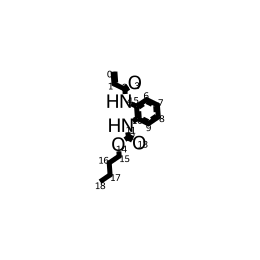 C=CC(=O)Nc1ccccc1NC(=O)OCCCC